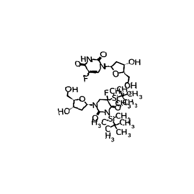 CC(C)(C)[Si](C)(C)N1C(=O)N([C@H]2C[C@H](O)[C@@H](CO)O2)CC(F)([Si](C)(C)C(C)(C)C)C1=O.O=c1[nH]c(=O)n([C@H]2C[C@H](O)[C@@H](CO)O2)cc1F